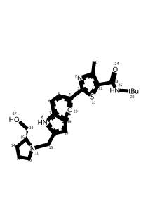 Cc1nc(-c2ccc3[nH]c(CN4CCC[C@@H]4CO)cc3c2)sc1C(=O)NC(C)(C)C